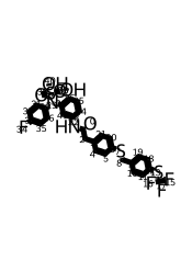 O=C(Cc1ccc(SCc2ccc(SC(F)(F)F)cc2)cc1)Nc1ccc(O)c(N(c2ccc(F)cc2)S(=O)(=O)O)c1